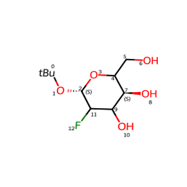 CC(C)(C)O[C@@H]1OC(CO)[C@@H](O)C(O)C1F